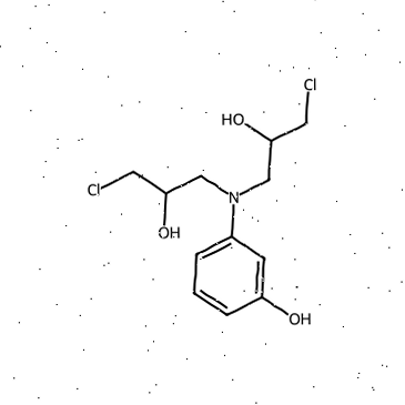 Oc1cccc(N(CC(O)CCl)CC(O)CCl)c1